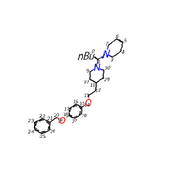 CCCCC(N1CCCCC1)N1CCC(CCOc2ccc(OCc3ccccc3)cc2)CC1